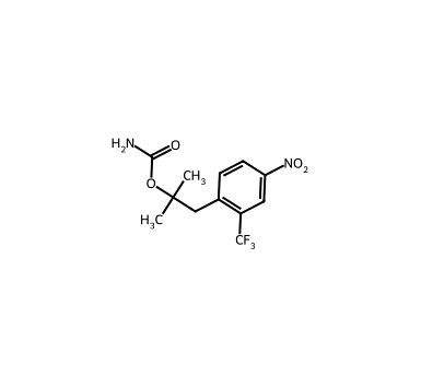 CC(C)(Cc1ccc([N+](=O)[O-])cc1C(F)(F)F)OC(N)=O